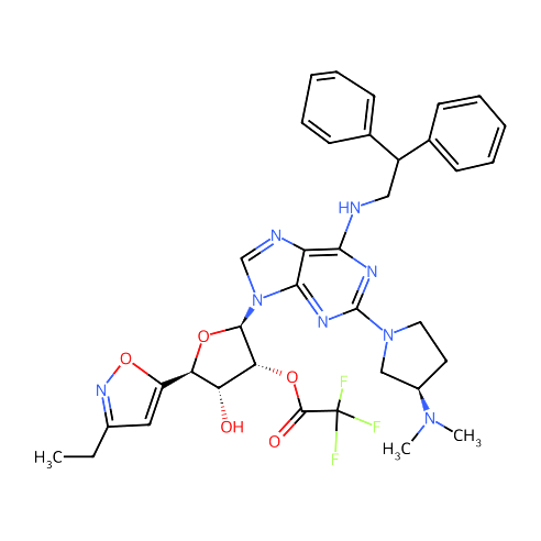 CCc1cc([C@H]2O[C@@H](n3cnc4c(NCC(c5ccccc5)c5ccccc5)nc(N5CC[C@@H](N(C)C)C5)nc43)[C@H](OC(=O)C(F)(F)F)[C@@H]2O)on1